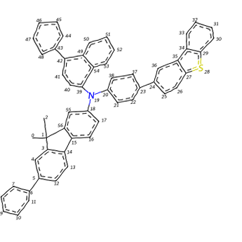 CC1(C)c2cc(-c3ccccc3)ccc2-c2ccc(N(c3ccc(-c4ccc5sc6ccccc6c5c4)cc3)c3ccc(-c4ccccc4)c4ccccc34)cc21